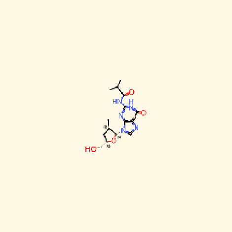 CC(C)C(=O)Nc1nc2c(ncn2[C@@H]2O[C@H](CO)C[C@H]2C)c(=O)[nH]1